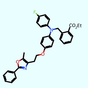 CCOC(=O)c1ccccc1CN(c1ccc(F)cc1)c1ccc(OCCc2nc(-c3ccccc3)oc2C)cc1